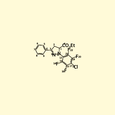 CCOC(=O)C1CC(c2ccccc2)=NN1c1c(F)c(F)c(Cl)c(F)c1F